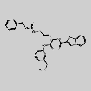 O=C(O)Cc1cccc(NC(=O)[C@H](CCCNC(=O)OCc2ccccc2)NC(=O)c2cc3ccccc3o2)c1